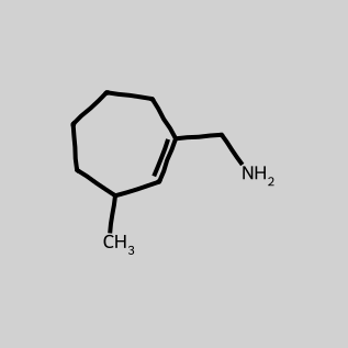 CC1C=C(CN)CCCC1